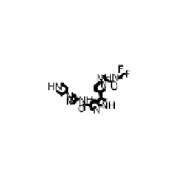 O=C(Nc1cnn(C2CCNCC2)c1)c1cnc2[nH]cc(-c3ccc4ncc(C(=O)NCC(F)F)n4c3)c2c1